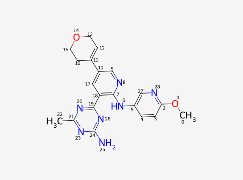 COc1ccc(Nc2ncc(C3=CCOCC3)cc2-c2nc(C)nc(N)n2)cn1